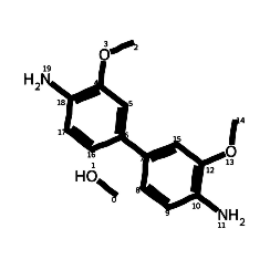 CO.COc1cc(-c2ccc(N)c(OC)c2)ccc1N